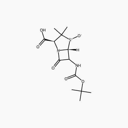 CC(C)(C)OC(=O)NC1C(=O)N2[C@@H]1[S+]([O-])C(C)(C)[C@@H]2C(=O)O